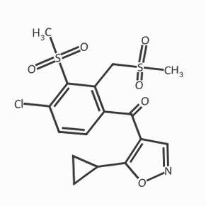 CS(=O)(=O)Cc1c(C(=O)c2cnoc2C2CC2)ccc(Cl)c1S(C)(=O)=O